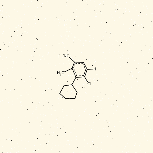 Cc1c(C#N)cc(I)c(Cl)c1C1CCCCC1